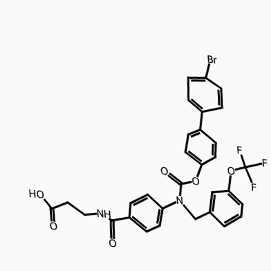 O=C(O)CCNC(=O)c1ccc(N(Cc2cccc(OC(F)(F)F)c2)C(=O)Oc2ccc(-c3ccc(Br)cc3)cc2)cc1